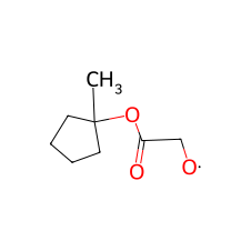 CC1(OC(=O)C[O])CCCC1